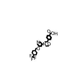 O=C(O)c1ccc(C2CN(c3cncc(OCC4CCC(C(F)(F)F)CC4)c3)CCO2)cc1